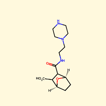 O=C(O)C1C(C(=O)NCCN2CCNCC2)[C@H]2CC[C@@H]1O2